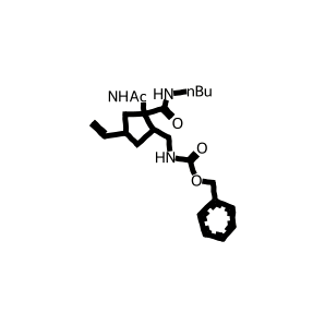 C=CC1CC(CNC(=O)OCc2ccccc2)C(NC(C)=O)(C(=O)NCCCC)C1